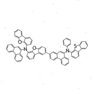 c1ccc(N(c2cc3cc(-c4ccc5oc6c(N(c7cc8ccccc8c8ccccc78)c7cccc8c7oc7ccccc78)cccc6c5c4)ccc3c3ccccc23)c2cccc3c2sc2ccccc23)cc1